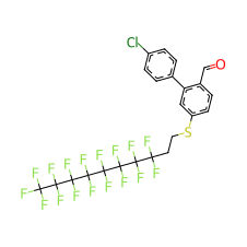 O=Cc1ccc(SCCC(F)(F)C(F)(F)C(F)(F)C(F)(F)C(F)(F)C(F)(F)C(F)(F)C(F)(F)F)cc1-c1ccc(Cl)cc1